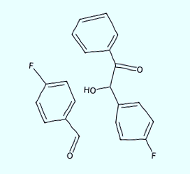 O=C(c1ccccc1)C(O)c1ccc(F)cc1.O=Cc1ccc(F)cc1